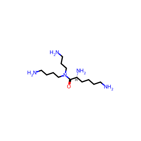 NCCCC[C@@H](N)C(=O)N(CCCN)CCCCN